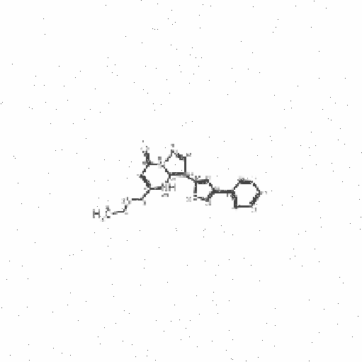 CCSCc1cc(=O)n2ncc(-c3cc(-c4ccccc4)cs3)c2[nH]1